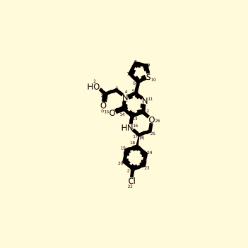 O=C(O)Cn1c(-c2cccs2)nc2c(c1=O)N[C@H](c1ccc(Cl)cc1)CO2